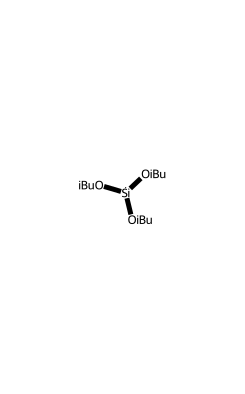 CC(C)CO[Si](OCC(C)C)OCC(C)C